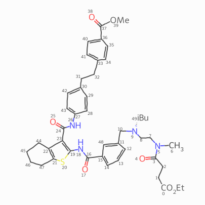 CCOC(=O)CCC(=O)N(C)CCN(Cc1cccc(C(=O)Nc2sc3c(c2C(=O)Nc2ccc(CCc4ccc(C(=O)OC)cc4)cc2)CCCC3)c1)[C@@H](C)CC